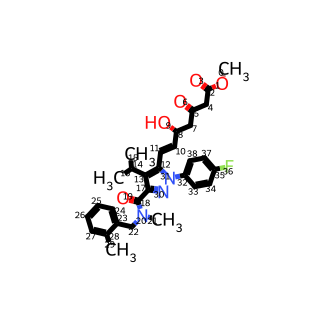 COC(=O)CC(=O)CC(O)C=Cc1c(C(C)C)c(C(=O)N(C)Cc2ccccc2C)nn1-c1ccc(F)cc1